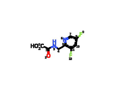 O=C(O)C(=O)NCc1ncc(F)cc1F